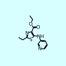 CCOC(=O)c1nc(CC)sc1Nc1cccnc1